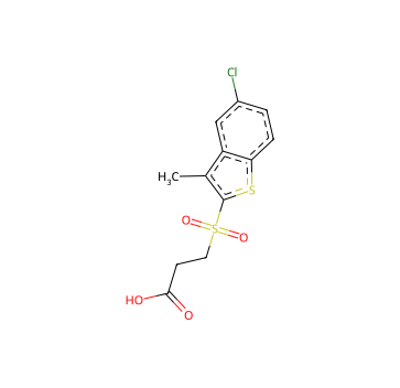 Cc1c(S(=O)(=O)CCC(=O)O)sc2ccc(Cl)cc12